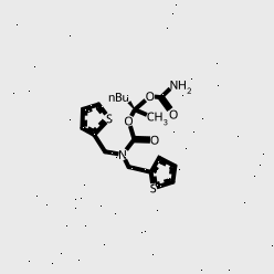 CCCC[C@](C)(OC(N)=O)OC(=O)N(Cc1cccs1)Cc1cccs1